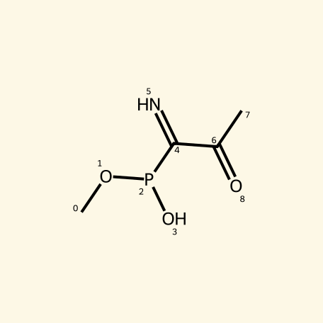 COP(O)C(=N)C(C)=O